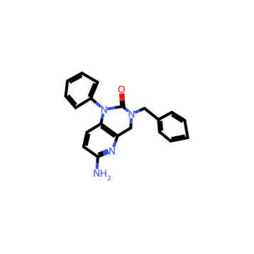 Nc1ccc2c(n1)CN(Cc1ccccc1)C(=O)N2c1ccccc1